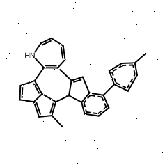 CC1=Cc2c(cccc2-c2ccc(C)cc2)[C]1C1=C(C)C=C2C=CC(C3=CC=CC=CN3)=C21